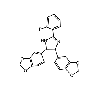 Fc1ccccc1-c1nc(-c2ccc3c(c2)OCO3)c(-c2ccc3c(c2)OCO3)[nH]1